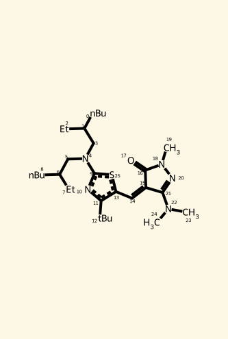 CCCCC(CC)CN(CC(CC)CCCC)c1nc(C(C)(C)C)c(/C=C2\C(=O)N(C)N=C2N(C)C)s1